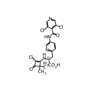 CC1(C)C(=O)C(Cl)=C1N[C@@H](Cc1ccc(NC(=O)c2c(Cl)cncc2Cl)cn1)C(=O)O